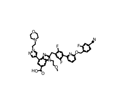 COCCn1c(Cc2cc(F)c(-c3cccc(OCc4ccc(C#N)cc4F)n3)cc2F)nc2c(-c3cnn(CCN4CCOCC4)c3)cc(C(=O)O)cc21